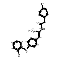 O=C(Cc1ccc(F)cc1)N/C(=C/c1ccc(Oc2ccccc2Br)cc1)C(=O)O